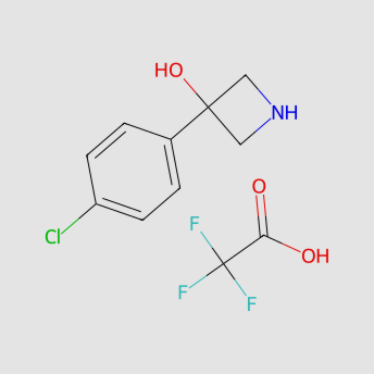 O=C(O)C(F)(F)F.OC1(c2ccc(Cl)cc2)CNC1